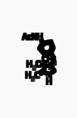 C=C1NCN(Cc2ccc(NC(C)=O)cc2)C1(C)C